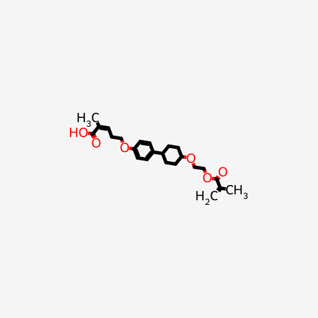 C=C(C)C(=O)OCCOC1CCC(c2ccc(OCCC=C(C)C(=O)O)cc2)CC1